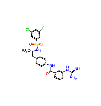 N=C(N)Nc1cccc(C(=O)Nc2ccc(CC(NS(=O)(=O)c3cc(Cl)cc(Cl)c3)C(=O)O)cc2)c1